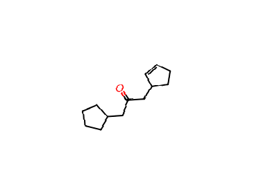 O=C(CC1C=CCC1)CC1CCCC1